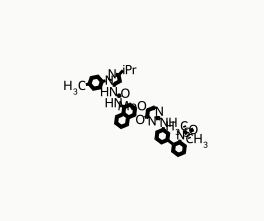 COc1cnc(Nc2cccc(-c3ccccc3N=S(C)(C)=O)c2)nc1Oc1ccc(NC(=O)Nc2cc(C(C)C)nn2-c2ccc(C)cc2)c2ccccc12